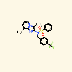 Cc1cccn2c(C)c(N(Cc3ccc(C(F)(F)F)cc3)S(=O)(=O)c3ccccc3)nc12